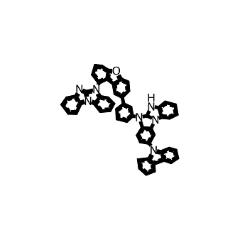 c1cc(-c2ccc3oc4cccc(-n5c6ccccc6n6c7ccccc7nc56)c4c3c2)cc(N2c3ccc(-n4c5ccccc5c5ccccc54)cc3N3c4ccccc4NC23)c1